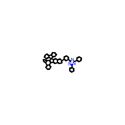 c1ccc(-c2nc(-c3ccccc3)nc(-c3cccc(-c4ccc5cc6c(cc5c4)C4(c5ccccc5-c5ccccc54)c4c-6c5ccccc5c5ccccc45)c3)n2)cc1